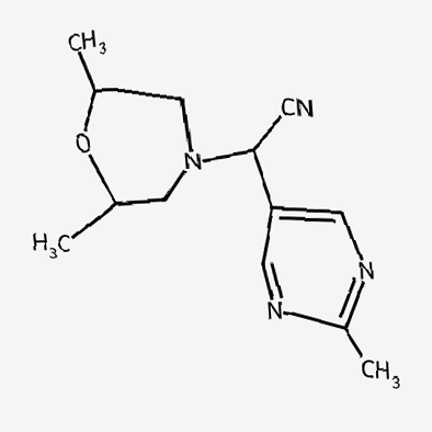 Cc1ncc(C(C#N)N2CC(C)OC(C)C2)cn1